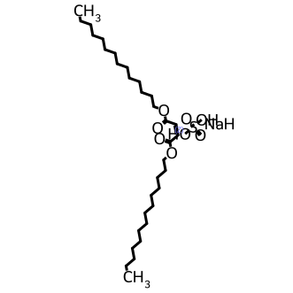 CCCCCCCCCCCCCCOC(=O)/C=C\C(=O)OCCCCCCCCCCCCCC.O=S(=O)(O)O.[NaH]